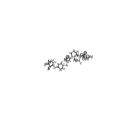 NC1C(c2cc(Cc3ccc(Cc4ccnc(F)c4F)cc3)no2)=CC=CN1COP(=O)(O)O